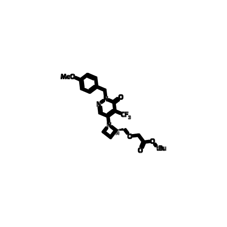 COc1ccc(Cn2ncc(N3CC[C@H]3COCC(=O)OC(C)(C)C)c(C(F)(F)F)c2=O)cc1